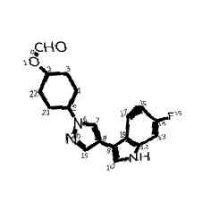 O=COC1CCC(n2cc(-c3c[nH]c4cc(F)ccc34)cn2)CC1